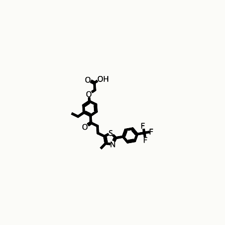 CCc1cc(OCC(=O)O)ccc1C(=O)CCc1sc(-c2ccc(C(F)(F)F)cc2)nc1C